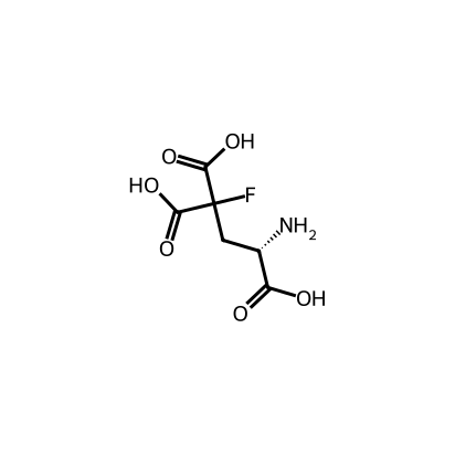 N[C@@H](CC(F)(C(=O)O)C(=O)O)C(=O)O